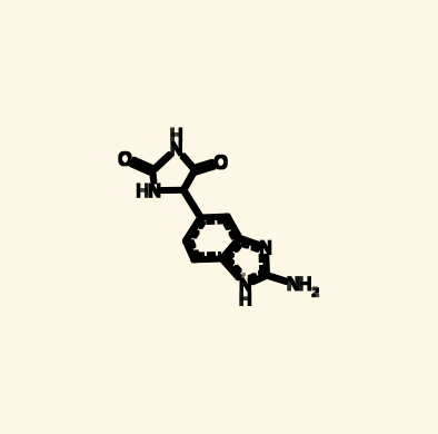 Nc1nc2cc(C3NC(=O)NC3=O)ccc2[nH]1